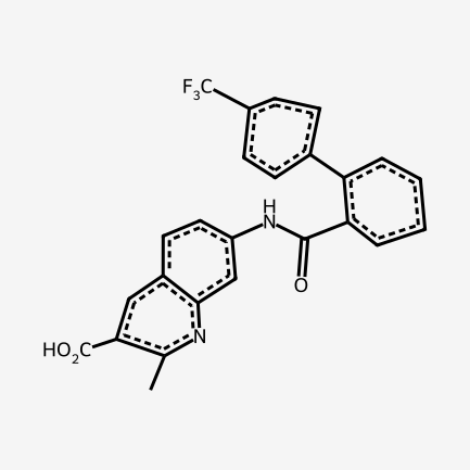 Cc1nc2cc(NC(=O)c3ccccc3-c3ccc(C(F)(F)F)cc3)ccc2cc1C(=O)O